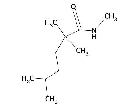 CNC(=O)C(C)(C)CCC(C)C